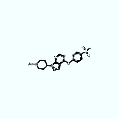 CC(=O)N1CCC(n2ncc3c(Oc4ccc(S(C)(=O)=O)cc4)ncnc32)CC1